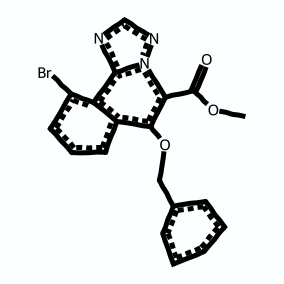 COC(=O)c1c(OCc2ccccc2)c2cccc(Br)c2c2ncnn12